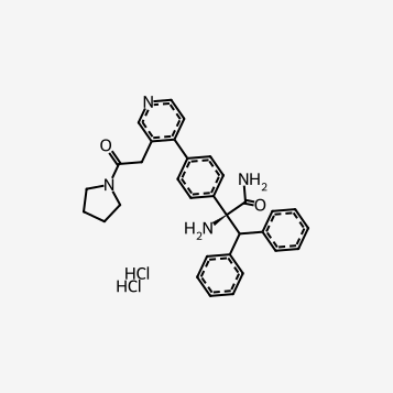 Cl.Cl.NC(=O)[C@@](N)(c1ccc(-c2ccncc2CC(=O)N2CCCC2)cc1)C(c1ccccc1)c1ccccc1